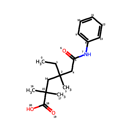 CCC(C)(CC(=O)Nc1ccccc1)CC(C)(C)C(=O)O